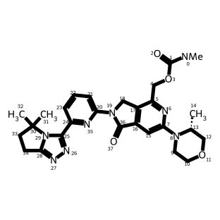 CNC(=O)OCc1nc(N2CCOC[C@H]2C)cc2c1CN(c1cccc(-c3nnc4n3C(C)(C)CC4)n1)C2=O